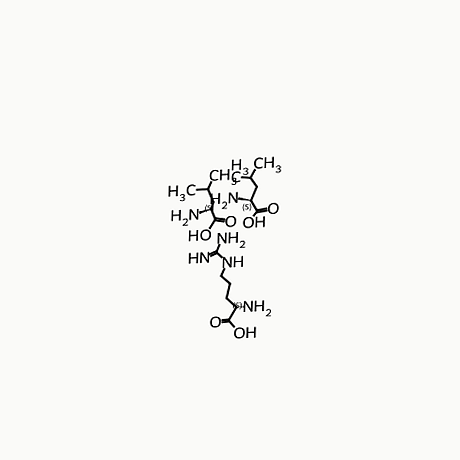 CC(C)C[C@H](N)C(=O)O.CC(C)C[C@H](N)C(=O)O.N=C(N)NCCC[C@H](N)C(=O)O